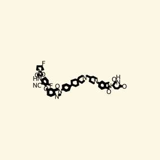 N#Cc1c(NS(=O)(=O)N2CC[C@@H](F)C2)ccc(F)c1Oc1ccc2ncn(-c3ccc(C4CCC5(CC4)CCN(CC4CCN(c6ccc7c(c6)CN([C@H]6CCC(=O)NC6=O)C7=O)CC4)CC5)cc3)c(=O)c2c1